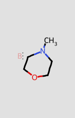 CN1CCOCC1.[B]